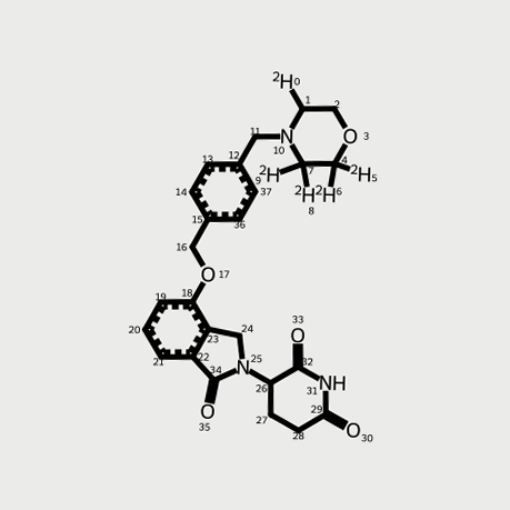 [2H]C1COC([2H])([2H])C([2H])([2H])N1Cc1ccc(COc2cccc3c2CN(C2CCC(=O)NC2=O)C3=O)cc1